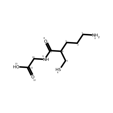 NCCCC(CS)C(=O)NCC(=O)O